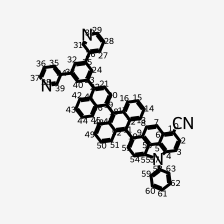 N#Cc1ccc2c3c1ccc1c(-c4c5ccccc5c(-c5ccc(-c6cc(-c7cccnc7)cc(-c7cccnc7)c6)c6ccccc56)c5ccccc45)ccc(c13)n2-c1ccccc1